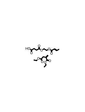 C=C(CC(=O)OCC)C(=O)OCC.CC=CC(=O)OCCOC(=O)CCC(=O)O